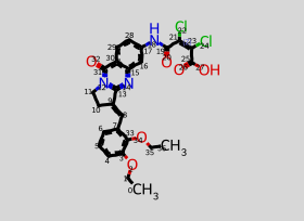 CCOc1cccc(C=C2CCn3c2nc2cc(NC(=O)/C(Cl)=C(/Cl)C(=O)O)ccc2c3=O)c1OCC